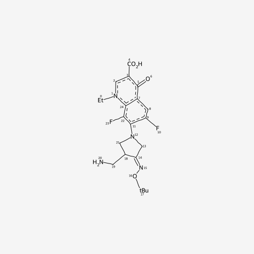 CCn1cc(C(=O)O)c(=O)c2cc(F)c(N3CC(=NOC(C)(C)C)C(CN)C3)c(F)c21